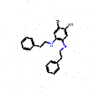 N#Cc1cc(NCCc2ccccc2)c(NCCc2ccccc2)cc1C#N